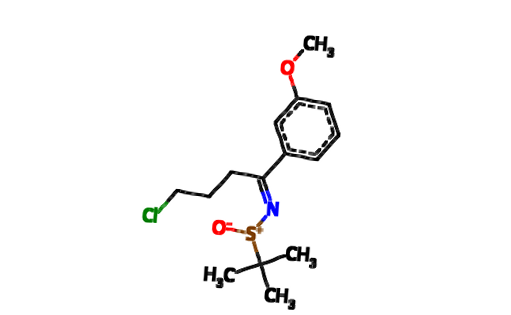 COc1cccc(C(CCCCl)=N[S+]([O-])C(C)(C)C)c1